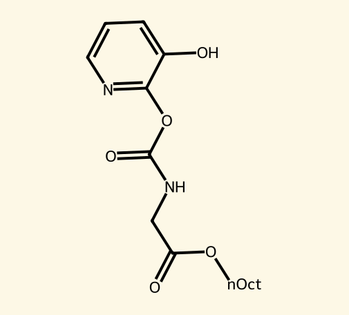 CCCCCCCCOC(=O)CNC(=O)Oc1ncccc1O